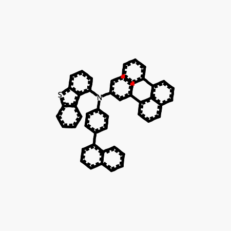 c1ccc(-c2cccc3cccc(-c4cccc(N(c5ccc(-c6cccc7ccccc67)cc5)c5cccc6sc7ccccc7c56)c4)c23)cc1